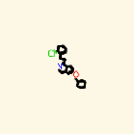 Clc1ccccc1C=CC1=NCCc2cc(OCC3CCCCC3)ccc21